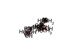 CC(CCC(=O)N[C@@H](CC(=O)N[C@@H](CC(=O)N[C@@H](CCCCn1cc(CCCC(=O)Nc2nnc(S(N)(=O)=O)s2)nn1)C(=O)NCCOCCOCCNC(=S)Nc1ccc(CC2CN(CC(=O)O)CCN(CC(=O)O)CCN2CC(=O)O)cc1)C(=O)O)C(=O)O)(c1ccc(O)cc1)c1ccc(O)cc1